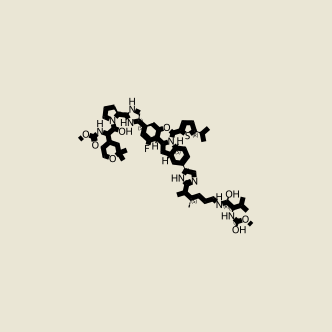 COC(=O)NC(C1CCOC(C)(C)C1)C(O)N1CCC[C@H]1[C@@H]1NC[C@H]([C@@H]2C=C(F)[C@H]3C(C2)OC(C2=CC[C@H](C(C)C)S2)N2C3C[C@@H]3CC([C@@H]4CN=C(C(C)[C@@H](C)CCCN[C@H](O)[C@@H](N[C@H](O)OC)C(C)C)N4)=CC[C@@H]32)N1